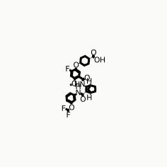 COc1cc(F)c(O[C@H]2CC[C@@H](C(=O)O)CC2)cc1C(=O)N[C@@H]1[C@H]2CC[C@H](C2)[C@@H]1C(=O)Nc1cccc(OC(F)F)c1